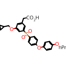 CCCOc1ccc(Oc2ccc(S(=O)(=O)c3cc(CC(=O)O)cc(OCC4CC4)c3)cc2)cc1